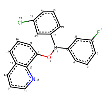 Fc1cccc(B(Oc2cccc3cccnc23)c2cccc(Cl)c2)c1